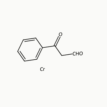 O=CCC(=O)c1ccccc1.[Cr]